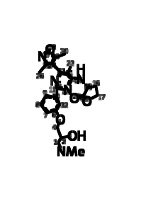 CNCC(O)COc1cccc(-c2nc(N[C@@H]3CCOC3=O)c(C)c(-c3c(C)noc3C)n2)c1